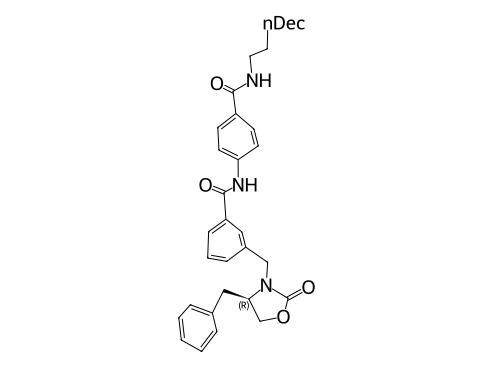 CCCCCCCCCCCCNC(=O)c1ccc(NC(=O)c2cccc(CN3C(=O)OC[C@H]3Cc3ccccc3)c2)cc1